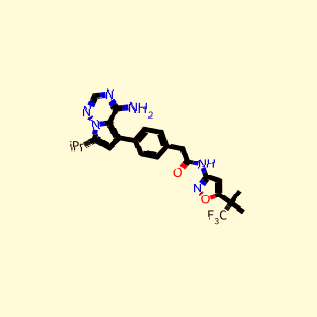 CC(C)c1cc(-c2ccc(CC(=O)Nc3cc(C(C)(C)C(F)(F)F)on3)cc2)c2c(N)ncnn12